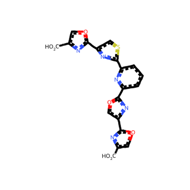 O=C(O)c1coc(-c2coc(-c3cccc(-c4nc(-c5nc(C(=O)O)co5)cs4)n3)n2)n1